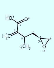 C=C(C(=O)O)C(C)C[C@H]1CO1